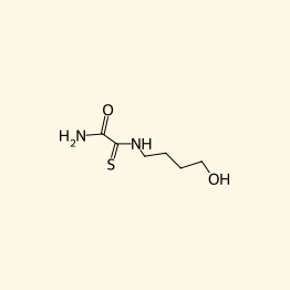 NC(=O)C(=S)NCCCCO